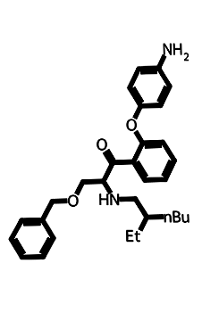 CCCCC(CC)CNC(COCc1ccccc1)C(=O)c1ccccc1Oc1ccc(N)cc1